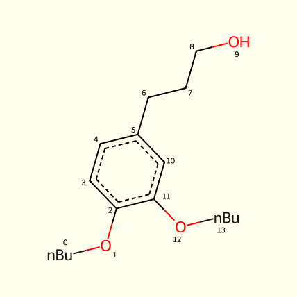 CCCCOc1ccc(CCCO)cc1OCCCC